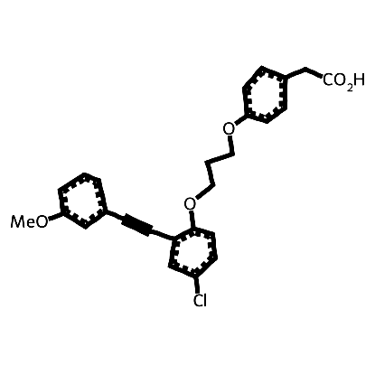 COc1cccc(C#Cc2cc(Cl)ccc2OCCCOc2ccc(CC(=O)O)cc2)c1